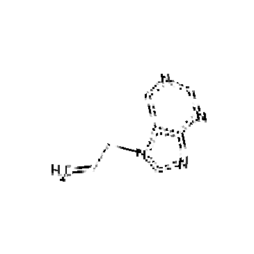 C=CCn1cnc2ncncc21